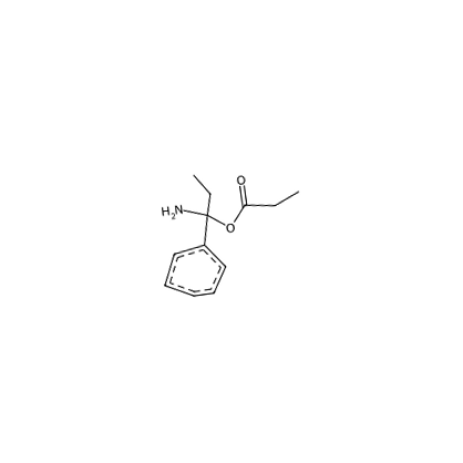 CCC(=O)OC(N)(CC)c1ccccc1